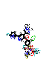 Cn1cc(-c2cc(-c3ccc(F)nc3)ncc2Oc2cc(F)c(S(=O)(=O)N(OC(=O)C(F)(F)F)c3cscn3)cc2Cl)cn1